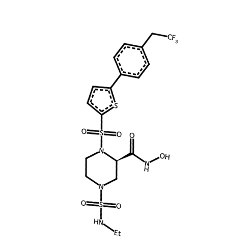 CCNS(=O)(=O)N1CCN(S(=O)(=O)c2ccc(-c3ccc(CC(F)(F)F)cc3)s2)[C@@H](C(=O)NO)C1